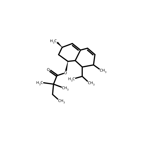 CCC(C)(C)C(=O)O[C@H]1C[C@@H](C)C=C2C=CC(C)C(C(C)C)C21